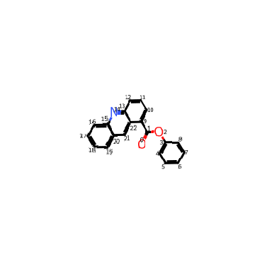 O=C(Oc1ccccc1)c1cccc2nc3ccccc3cc12